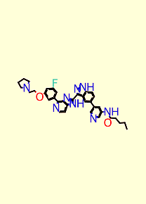 CCCCC(=O)Nc1cncc(-c2ccc3[nH]nc(-c4nc5c(-c6cc(F)cc(OCCN7CCCC7)c6)nccc5[nH]4)c3c2)c1